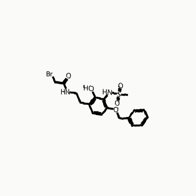 CS(=O)(=O)Nc1c(OCc2ccccc2)ccc(CCNC(=O)CBr)c1O